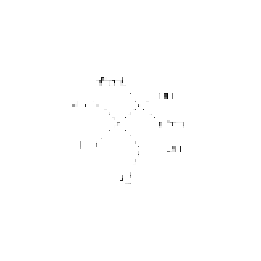 CCCCCC(O)(CCCCC)C(O)(CCCCC)C(O)C(C)=O